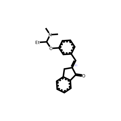 CCC(Oc1cccc(/C=C2\Cc3ccccc3C2=O)c1)N(C)C